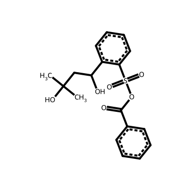 CC(C)(O)CC(O)c1ccccc1S(=O)(=O)OC(=O)c1ccccc1